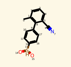 Cc1cccc(C#N)c1-c1ccc([SH](=O)=O)cc1